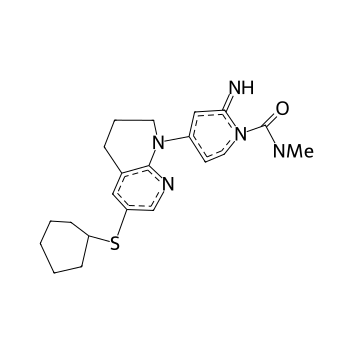 CNC(=O)n1ccc(N2CCCc3cc(SC4CCCCC4)cnc32)cc1=N